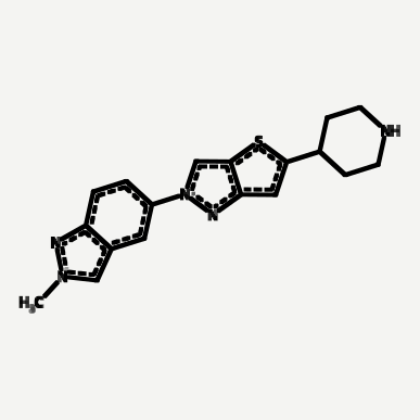 Cn1cc2cc(-n3cc4sc(C5CCNCC5)cc4n3)ccc2n1